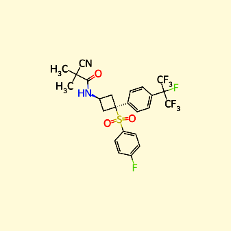 CC(C)(C#N)C(=O)N[C@H]1C[C@@](c2ccc(C(F)(C(F)(F)F)C(F)(F)F)cc2)(S(=O)(=O)c2ccc(F)cc2)C1